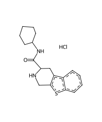 Cl.O=C(NC1CCCCC1)C1Cc2c(sc3ccccc23)CN1